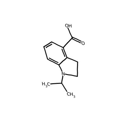 CC(C)N1CCc2c(C(=O)O)cccc21